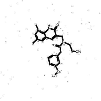 CCOc1cccc(CC(=O)N(CCO)Cc2cc3cc(C)cc(C)c3[nH]c2=O)c1